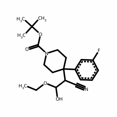 CCOC(O)C(C#N)C1(c2cccc(F)c2)CCN(C(=O)OC(C)(C)C)CC1